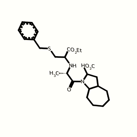 CCOC(=O)C(CSCc1ccccc1)N[C@@H](C)C(=O)N1C(C(=O)O)CC2CCCCCC21